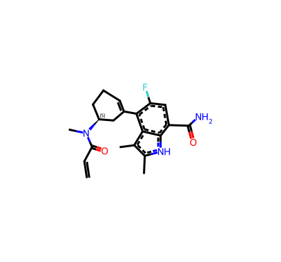 C=CC(=O)N(C)[C@H]1CCC=C(c2c(F)cc(C(N)=O)c3[nH]c(C)c(C)c23)C1